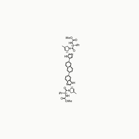 COC(=O)N[C@H](C(=O)N1CC(C)=C[C@H]1c1ncc(-c2ccc3cc(-c4ccc5nc([C@@H]6C=C(C)CN6C(=O)[C@@H](NC(=O)OC)C(C)C)[nH]c5c4)ccc3c2)[nH]1)C(C)C